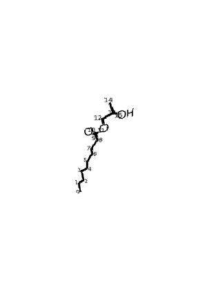 CCCCCCCCCC(=O)OCC(C)O